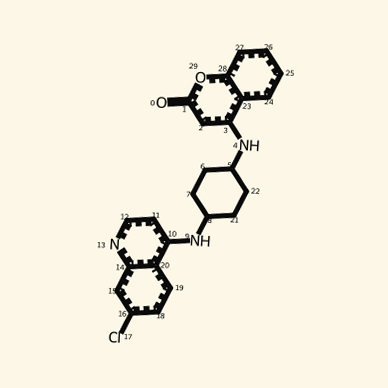 O=c1cc(NC2CCC(Nc3ccnc4cc(Cl)ccc34)CC2)c2ccccc2o1